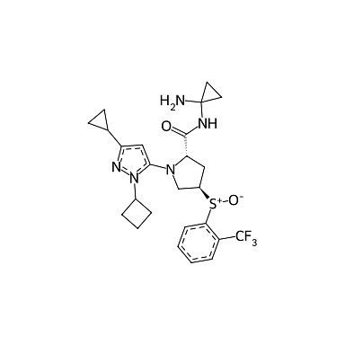 NC1(NC(=O)[C@@H]2C[C@@H]([S+]([O-])c3ccccc3C(F)(F)F)CN2c2cc(C3CC3)nn2C2CCC2)CC1